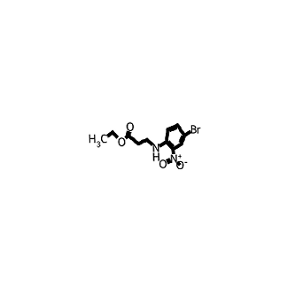 CCOC(=O)CCNc1ccc(Br)cc1[N+](=O)[O-]